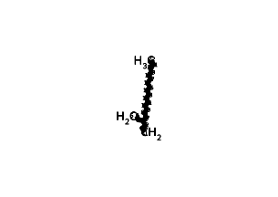 C=CC[C](CC=C)CCCCCCCCCCCCCCCC